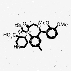 COc1cccc(C2OCC(=O)[N+](CC(C)(C)C)([C@@H]3CCNC[C@@]3(C(C)=O)C(=O)O)c3ccc(C)cc32)c1OC